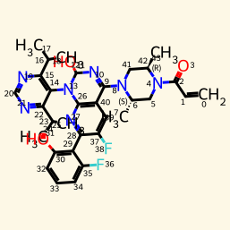 C=CC(=O)N1C[C@H](C)N(C2=NC(O)N(c3c(C(C)C)ncnc3C(C)C)c3nc(-c4c(O)cccc4F)c(F)cc32)C[C@H]1C